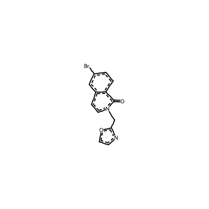 O=c1c2ccc(Br)cc2ccn1Cc1ncco1